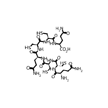 NC(=O)CC[C@H](NC(=O)[C@H](CS)NC(=O)[C@H](CS)NC(=O)[C@H](CCC(N)=O)NC(=O)[C@H](CS)NC(=O)[C@H](CS)NC(=O)[C@@H](N)CCC(N)=O)C(=O)O